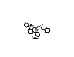 CC#N.CN(CCCc1c(C2(Br)CCCC2)cccc1C1(Br)CCCC1)Cc1ccccc1